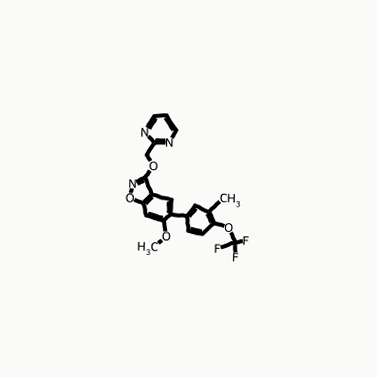 COc1cc2onc(OCc3ncccn3)c2cc1-c1ccc(OC(F)(F)F)c(C)c1